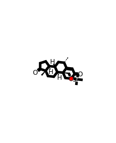 C[C@H]1C[C@@H]2[C@H](CC[C@]3(C)C(=O)CC[C@@H]23)[C@@]2(CO[Si](C)(C)C)CCC(=O)C=C12